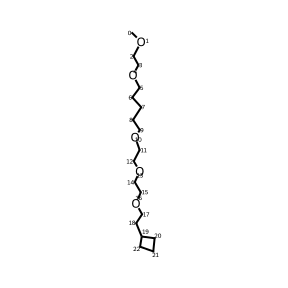 COCCOCCCCCOCCOCCOCCC1CCC1